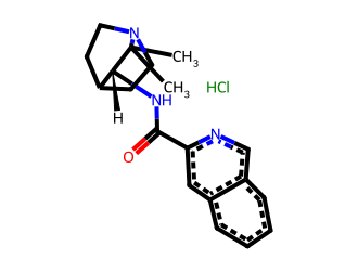 CC1(C)[C@H](NC(=O)c2cc3ccccc3cn2)C2CCN1CC2.Cl